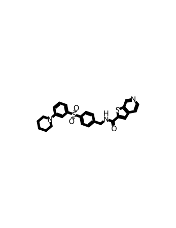 O=C(NCc1ccc(S(=O)(=O)c2cccc(N3CCCCC3)c2)cc1)c1cc2ccncc2s1